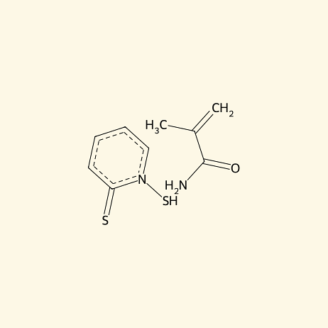 C=C(C)C(N)=O.S=c1ccccn1S